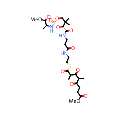 COC(=O)CCC(=O)C(C)C(=O)C(C)C(=O)SCCNC(=O)CCNC(=O)[C@@H]1OP(=O)(N[C@@H](C)C(=O)OC)OCC1(C)C